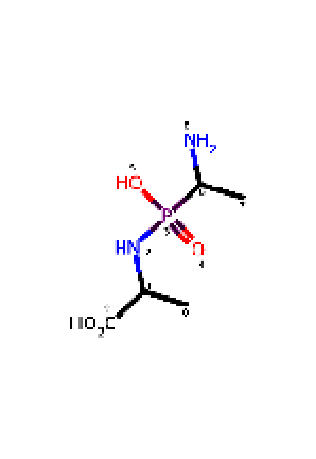 CC(NP(=O)(O)C(C)N)C(=O)O